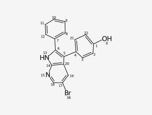 Oc1ccc(-c2c(-c3ccccc3)[nH]c3ncc(Br)cc23)cc1